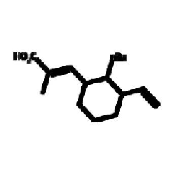 C=CC1CCCC(/C=C(\C)C(=O)O)C1CCCC